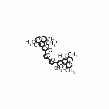 CC1(C)CCN2CCC(C)(C)c3c2c1cc1cc(-c2ccc(-c4ccc(-c5cc6cc7c8c(c6oc5=O)C(C)(C)CCN8CCC7(C)C)o4)o2)c(=O)oc31